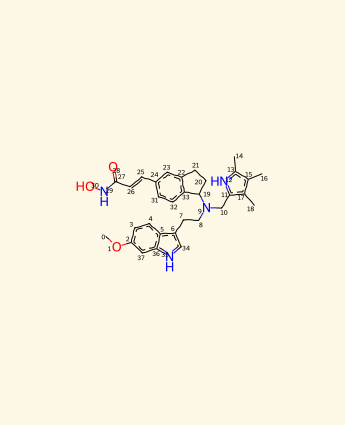 COc1ccc2c(CCN(Cc3[nH]c(C)c(C)c3C)C3CCc4cc(C=CC(=O)NO)ccc43)c[nH]c2c1